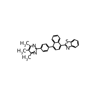 Cc1nc(-c2ccc(-c3ccc(-c4nc5ccccc5s4)c4ccccc34)cc2)nc(C)c1C